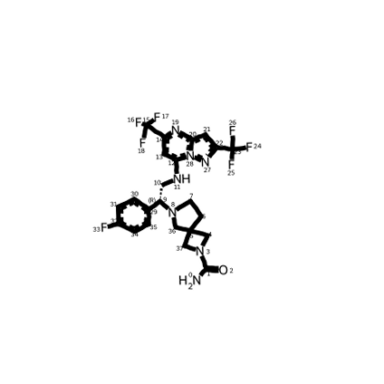 NC(=O)N1CC2(CCN([C@@H](CNc3cc(C(F)(F)F)nc4cc(C(F)(F)F)nn34)c3ccc(F)cc3)C2)C1